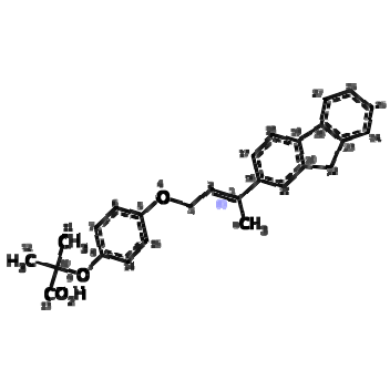 C/C(=C\COc1ccc(OC(C)(C)C(=O)O)cc1)c1ccc2c(c1)Cc1ccccc1-2